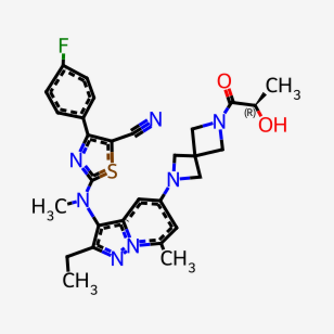 CCc1nn2c(C)cc(N3CC4(CN(C(=O)[C@@H](C)O)C4)C3)cc2c1N(C)c1nc(-c2ccc(F)cc2)c(C#N)s1